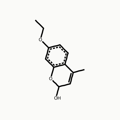 CCOc1ccc2c(c1)OC(O)C=C2C